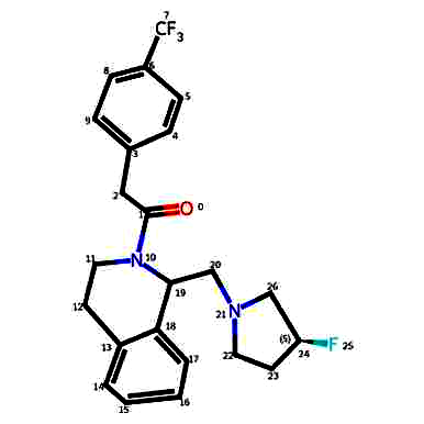 O=C(Cc1ccc(C(F)(F)F)cc1)N1CCc2ccccc2C1CN1CC[C@H](F)C1